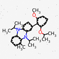 COc1cccc(OC(C)C)c1-c1ccc2c(c1)N(C(C)C)c1c(C)cccc1N2C(C)C